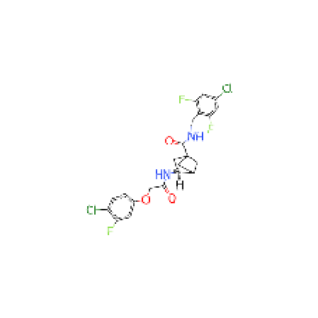 O=C(COc1ccc(Cl)c(F)c1)N[C@@H]1CC2(C(=O)NCc3c(F)cc(Cl)cc3F)CC1C2